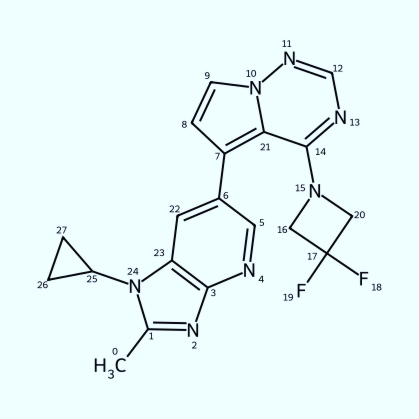 Cc1nc2ncc(-c3ccn4ncnc(N5CC(F)(F)C5)c34)cc2n1C1CC1